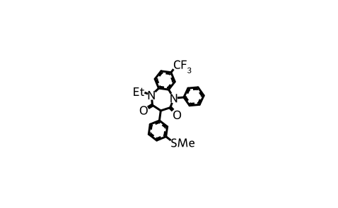 CCN1C(=O)C(c2cccc(SC)c2)C(=O)N(c2ccccc2)c2cc(C(F)(F)F)ccc21